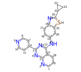 c1cnc2nc(-c3ccncc3)nc(Nc3ccc4nc(C5CC5)sc4c3)c2c1